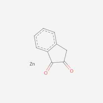 O=C1Cc2ccccc2C1=O.[Zn]